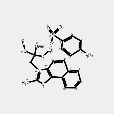 CCOC(C[n+]1c(C)sc2c3ccccc3ccc21)(OC)OCC.Cc1ccc(S(=O)(=O)[O-])cc1